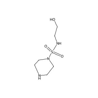 O=S(=O)(NCCO)N1CCNCC1